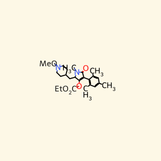 CCOC(=O)OC1=C(c2c(C)cc(C)cc2C)C(=O)N(C)C1CC1CCN(OC)CC1